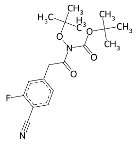 CC(C)(C)OC(=O)N(OC(C)(C)C)C(=O)Cc1ccc(C#N)c(F)c1